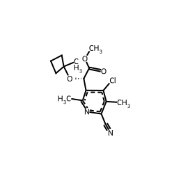 COC(=O)[C@@H](OC1(C)CCC1)c1c(C)nc(C#N)c(C)c1Cl